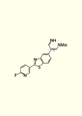 CN/C=C(\C=N)c1ccc2sc(-c3ccc(F)nc3)nc2c1